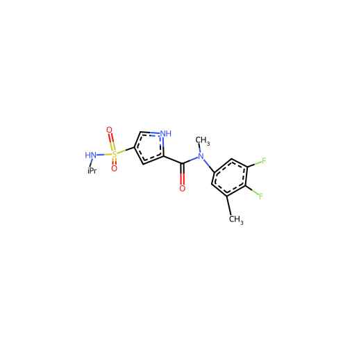 Cc1cc(N(C)C(=O)c2cc(S(=O)(=O)NC(C)C)c[nH]2)cc(F)c1F